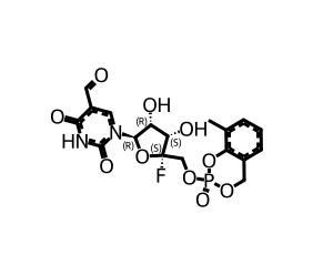 Cc1cccc2c1OP(=O)(OC[C@@]1(F)O[C@@H](n3cc(C=O)c(=O)[nH]c3=O)[C@H](O)[C@@H]1O)OC2